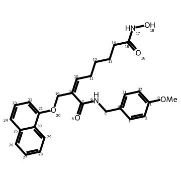 COc1ccc(CNC(=O)C(=CCCCCC(=O)NO)COc2cccc3ccccc23)cc1